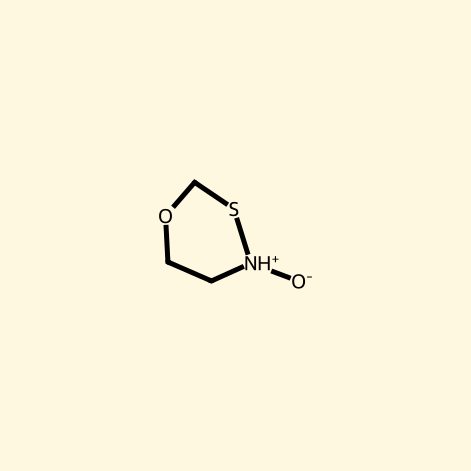 [O-][NH+]1CCOCS1